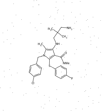 CNC(=O)c1c(NCC(C)(C)CN)c(C)n(Cc2ccc(Cl)cc2)c1Sc1ccc(F)cc1